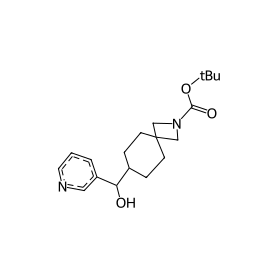 CC(C)(C)OC(=O)N1CC2(CCC(C(O)c3cccnc3)CC2)C1